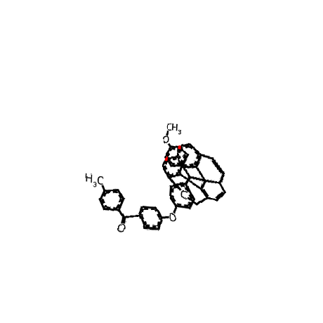 COc1ccc(C(c2ccc(Oc3ccc(C(=O)c4ccc(C)cc4)cc3)cc2)C23C4=C5C=CC2C=Cc2ccc6ccc(c4c6c23)CC5)cc1